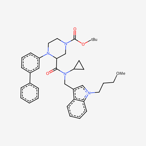 COCCCn1cc(CN(C(=O)C2CN(C(=O)OC(C)(C)C)CCN2c2cccc(-c3ccccc3)c2)C2CC2)c2ccccc21